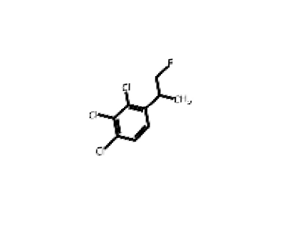 [CH2]C(CF)c1ccc(Cl)c(Cl)c1Cl